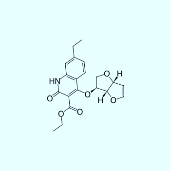 CCOC(=O)c1c(O[C@H]2CO[C@@H]3C=CO[C@H]23)c2ccc(CC)cc2[nH]c1=O